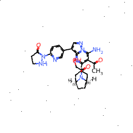 CC(=O)c1c([C@H]2C[C@H]3CC[C@@H](C2)N3C(=O)CO)nc2c(-c3ccc(N4NCCC4=O)nc3)cnn2c1N